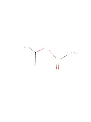 CCC(C)OS(=O)[N]C